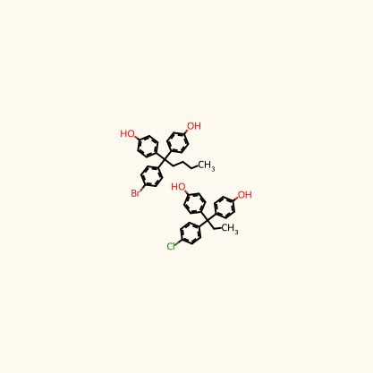 CCC(c1ccc(O)cc1)(c1ccc(O)cc1)c1ccc(Cl)cc1.CCCCC(c1ccc(O)cc1)(c1ccc(O)cc1)c1ccc(Br)cc1